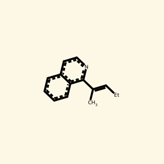 CC/C=C(\C)c1nccc2ccccc12